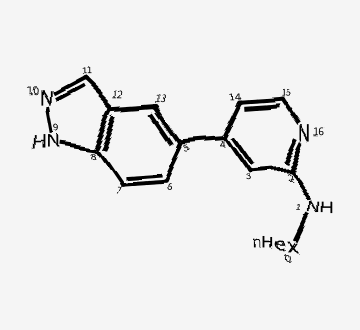 CCCCCCNc1cc(-c2ccc3[nH]ncc3c2)ccn1